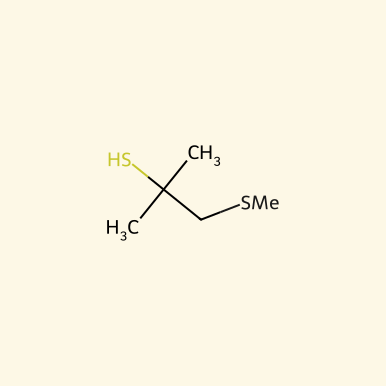 CSCC(C)(C)S